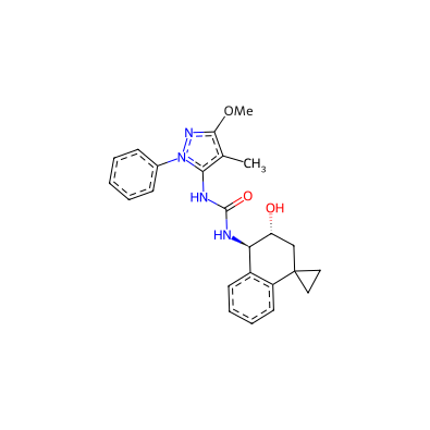 COc1nn(-c2ccccc2)c(NC(=O)N[C@@H]2c3ccccc3C3(CC3)C[C@H]2O)c1C